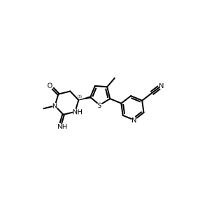 Cc1cc([C@@H]2CC(=O)N(C)C(=N)N2)sc1-c1cncc(C#N)c1